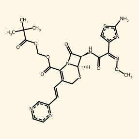 CO/N=C(\C(=O)N[C@@H]1C(=O)N2C(C(=O)OCOC(=O)C(C)(C)C)=C(/C=C/c3cnccn3)CS[C@H]12)c1csc(N)n1